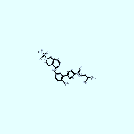 Cc1ccc(Nc2cccc3c2CCN(S(C)(=O)=O)C3)cc1-c1ccc(C(=O)NCC(C)O)cc1